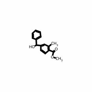 COC(=O)c1ccc(C(O)c2ccccc2)cc1C